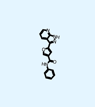 O=C(Nc1ccccc1)c1coc(-c2n[nH]c3ncccc23)c1